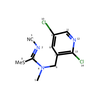 CSC(=NC#N)N(C)Cc1cc(Cl)cnc1Cl